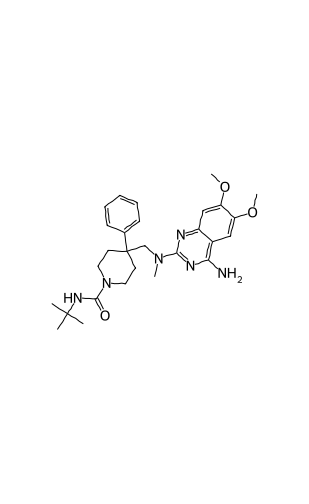 COc1cc2nc(N(C)CC3(c4ccccc4)CCN(C(=O)NC(C)(C)C)CC3)nc(N)c2cc1OC